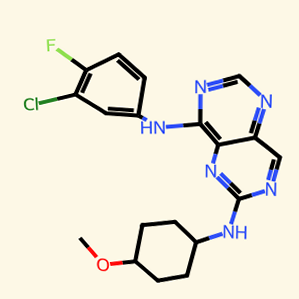 COC1CCC(Nc2ncc3ncnc(Nc4ccc(F)c(Cl)c4)c3n2)CC1